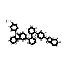 Cc1ccc(-n2c3ccccc3c3cc(-c4ccccc4-c4ccccc4-c4ccc(-c5nc6ccccc6o5)cc4)ccc32)cc1